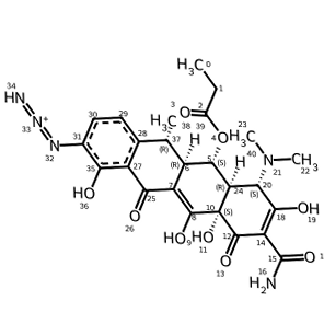 CCC(=O)O[C@H]1[C@H]2C(=C(O)[C@]3(O)C(=O)C(C(N)=O)=C(O)[C@@H](N(C)C)[C@H]13)C(=O)c1c(ccc(N=[N+]=N)c1O)[C@@H]2C